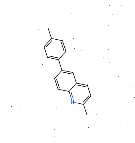 Cc1ccc(-c2ccc3nc(C)ccc3c2)cc1